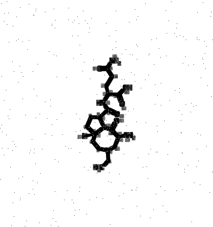 CCN1CC[C@H]2CC[C@@H](C(=O)N[C@@H](CCC(N)=O)C(=O)O)N2C(=O)[C@@H](N)C1